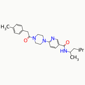 Cc1ccc(CC(=O)N2CCN(c3ccc(C(=O)NC(C)CC(C)C)cn3)CC2)cc1